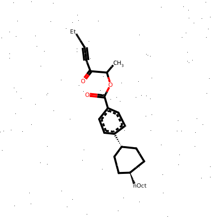 CCC#CC(=O)C(C)OC(=O)c1ccc([C@H]2CC[C@H](CCCCCCCC)CC2)cc1